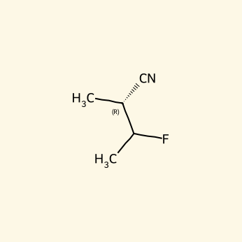 CC(F)[C@H](C)C#N